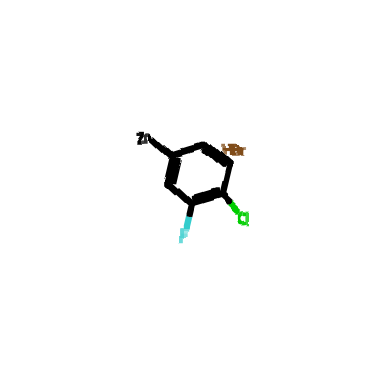 Br.Fc1c[c]([Zn])ccc1Cl